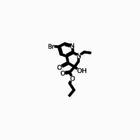 CCCOC(=O)C1(O)CN(CC)c2ncc(Br)cc2C1=O